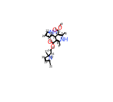 COC(=O)C1=C(C)NC(C)=C(C(=O)OCCC2(C)C=CC(C)=N2)C1c1ccc[nH]1